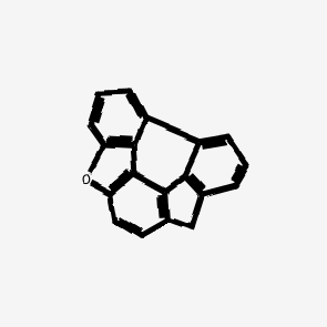 c1cc2c3c(c1)c1cccc4oc5ccc(c3c5c41)C2